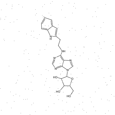 OCC1OC(n2cnc3c(NCCc4cc5ccccc5[nH]4)ncnc32)C(O)C1O